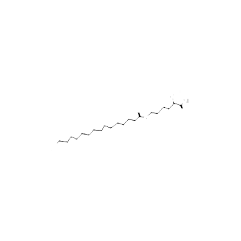 CCCCCCCCCCCCCCCC(=O)NCCCCC(NO)C(N)=O